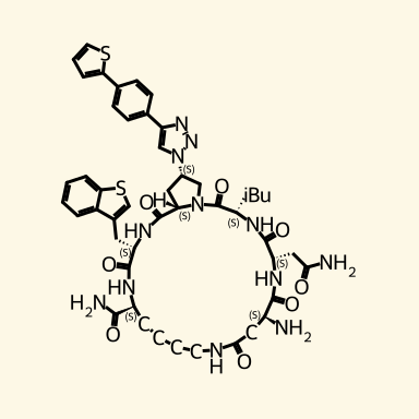 CCC(C)[C@@H]1NC(=O)[C@H](CC(N)=O)NC(=O)[C@@H](N)CC(=O)NCCCC[C@@H](C(N)=O)NC(=O)[C@H](Cc2csc3ccccc23)NC(=O)[C@@H]2C[C@H](n3cc(-c4ccc(-c5cccs5)cc4)nn3)CN2C1=O